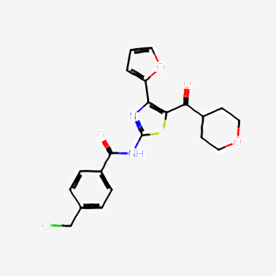 O=C(Nc1nc(-c2ccco2)c(C(=O)C2CCOCC2)s1)c1ccc(CCl)cc1